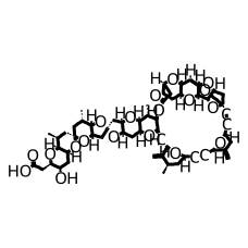 C=C1C[C@@H]2CC[C@@]34C[C@@H]5O[C@H]6[C@@H](O3)[C@H]3O[C@H](CC[C@@H]3O[C@H]6C5O4)CC(=O)O[C@@H]3[C@@H](C)[C@@H]4O[C@@H]5C[C@@]6(C[C@@H]7O[C@]8(C[C@H](C)[C@@H]9O[C@H](CC(=O)O)[C@H](O)C[C@@H]9O8)C[C@H](C)[C@@H]7O6)O[C@@H]5C[C@@H]4O[C@H]3C[C@H]3O[C@@H](CC[C@@H]1O2)C[C@@H](C)C3=C